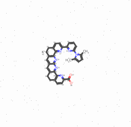 Cc1ccc(C)n1-c1cccc(-c2ccc3c(n2)-c2nc4nc5c(cc4cc2CC3)CCc2ccc(C(=O)[O-])nc2-5)n1.[K+]